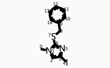 Cn1cc(I)nc1SCc1ccccc1